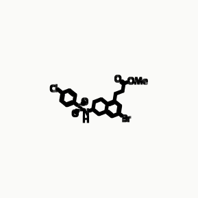 COC(=O)CCc1cc(Br)cc2c1CCC(NS(=O)(=O)c1ccc(Cl)cc1)C2